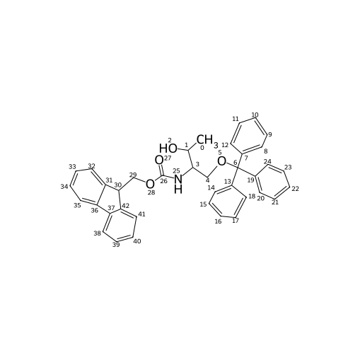 CC(O)C(COC(c1ccccc1)(c1ccccc1)c1ccccc1)NC(=O)OCC1c2ccccc2-c2ccccc21